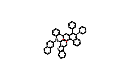 c1ccc(-c2c(-c3ccccc3)c3cc(-c4ccccc4N(c4ccc5ccccc5c4)c4cccc5c4sc4ccccc45)ccc3c3ccccc23)cc1